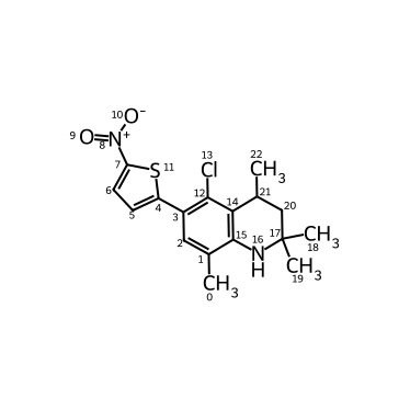 Cc1cc(-c2ccc([N+](=O)[O-])s2)c(Cl)c2c1NC(C)(C)CC2C